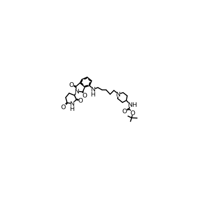 CC(C)(C)OC(=O)NC1CCN(CCCCCNc2cccc3c2C(=O)N(C2CCC(=O)NC2=O)C3=O)CC1